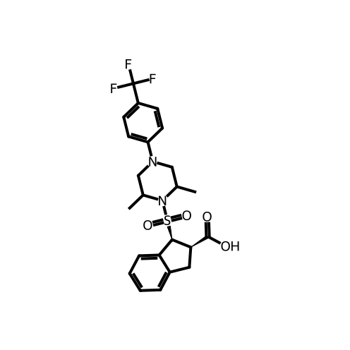 CC1CN(c2ccc(C(F)(F)F)cc2)CC(C)N1S(=O)(=O)[C@@H]1c2ccccc2C[C@@H]1C(=O)O